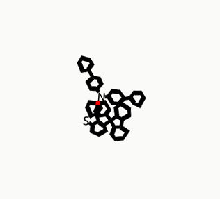 c1ccc(-c2ccc(N(c3ccc(-c4ccccc4)cc3)c3ccc4sc5cccc(C6(c7ccccc7)c7ccccc7-c7ccccc76)c5c4c3)cc2)cc1